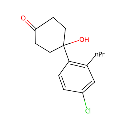 CCCc1cc(Cl)ccc1C1(O)CCC(=O)CC1